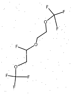 FC(COC(F)(F)F)OCCOC(F)(F)F